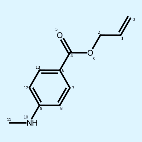 C=CCOC(=O)c1ccc(NC)cc1